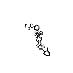 Cc1ccccc1-c1csc(N2CCN(S(=O)(=O)c3cccc(C(F)(F)F)c3)CC2)n1